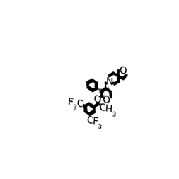 C[C@@H](O[C@H]1OCC[C@H](CN2CCC3(CCOC3)CC2)[C@H]1c1ccccc1)c1cc(C(F)(F)F)cc(C(F)(F)F)c1